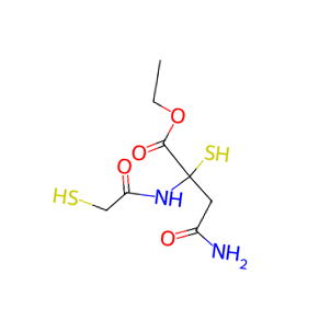 CCOC(=O)C(S)(CC(N)=O)NC(=O)CS